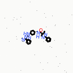 Cc1nc(-c2ccccc2)ncc1C(=O)NC[C@H]1CC[C@@H](Nc2nc(N(C)C)c3ccccc3n2)CC1